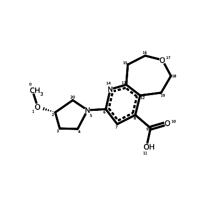 CO[C@H]1CCN(c2cc(C(=O)O)c3c(n2)CCOCC3)C1